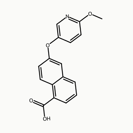 COc1ccc(Oc2ccc3c(C(=O)O)cccc3c2)cn1